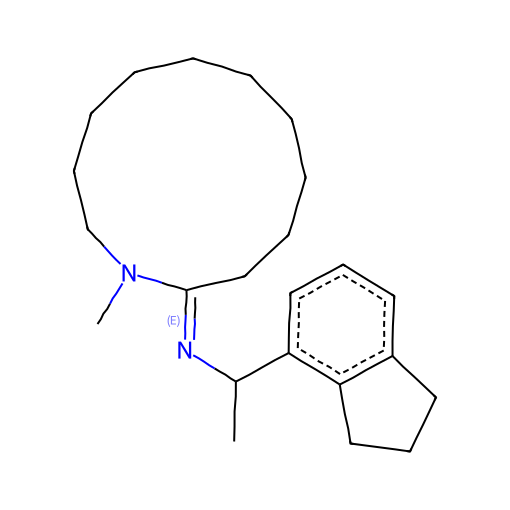 CC(/N=C1\CCCCCCCCCCN1C)c1cccc2c1CCC2